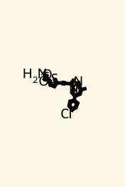 Cc1cc(-c2ccc(Cl)cc2)cn2c(C#Cc3ccc(S(N)(=O)=O)s3)cnc12